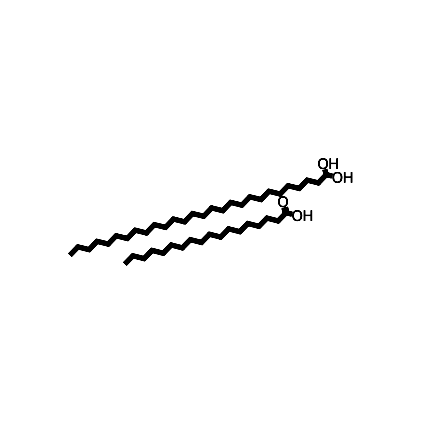 CCCCCCCCCCCCCCCCCC(=O)O.CCCCCCCCCCCCCCCCCCCCCCCCCCCC(O)O